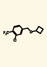 FC(F)(F)c1ccc(COC2CCC2)cc1Cl